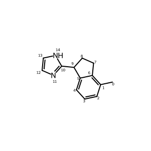 Cc1cccc2c1CCC2c1ncc[nH]1